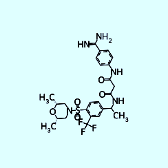 CC(NC(=O)CC(=O)Nc1ccc(C(=N)N)cc1)c1ccc(S(=O)(=O)N2C[C@@H](C)O[C@@H](C)C2)c(C(F)(F)F)c1